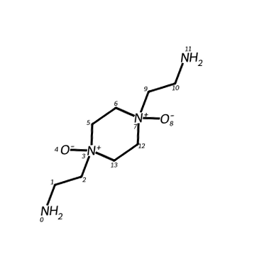 NCC[N+]1([O-])CC[N+]([O-])(CCN)CC1